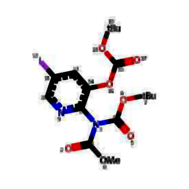 COC(=O)N(C(=O)OC(C)(C)C)c1ncc(I)cc1OC(=O)OC(C)(C)C